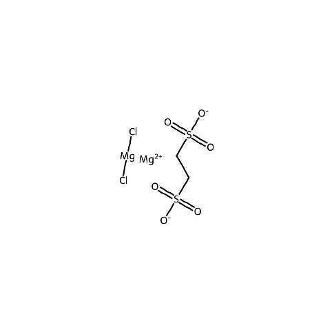 O=S(=O)([O-])CCS(=O)(=O)[O-].[Cl][Mg][Cl].[Mg+2]